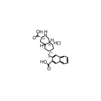 Cl.O=C(O)c1cc2ccccc2cc1S[C@H]1CC[C@H]2CN[C@H](C(=O)O)C[C@H]2C1